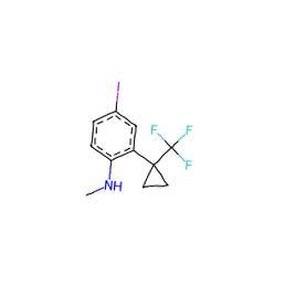 CNc1ccc(I)cc1C1(C(F)(F)F)CC1